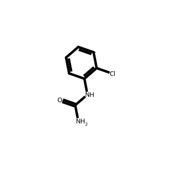 NC(=O)Nc1ccc[c]c1Cl